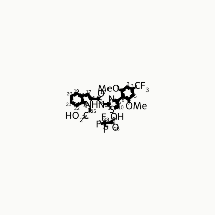 COc1cc(C(F)(F)F)cc(OC)c1-c1csc(NC(=O)c2cc3ccccc3n2CC(=O)O)n1.O=C(O)C(F)(F)F